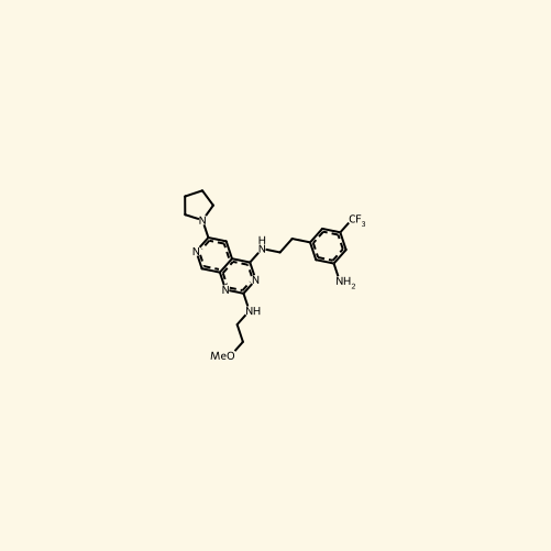 COCCNc1nc(NCCc2cc(N)cc(C(F)(F)F)c2)c2cc(N3CCCC3)ncc2n1